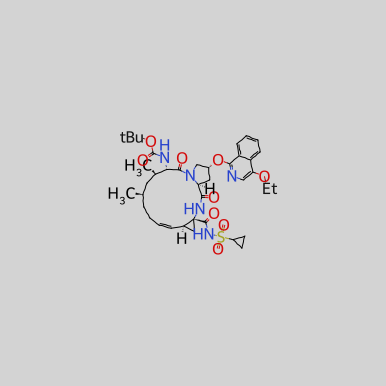 CCOc1cnc(O[C@@H]2C[C@H]3C(=O)N[C@]4(C(=O)NS(=O)(=O)C5CC5)C[C@H]4/C=C\CC[C@@H](C)C[C@@H](C)[C@H](NC(=O)OC(C)(C)C)C(=O)N3C2)c2ccccc12